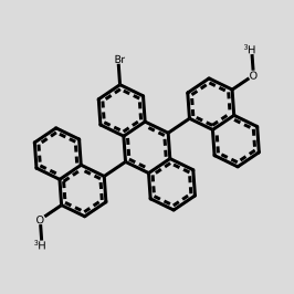 [3H]Oc1ccc(-c2c3ccccc3c(-c3ccc(O[3H])c4ccccc34)c3cc(Br)ccc23)c2ccccc12